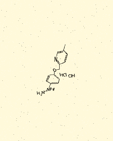 Cc1ccc(COc2ccc(NN)cc2)nc1.Cl.Cl